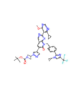 COc1ncnc(C2CC2)c1-c1ncc2cc(-c3cnn(C4CN(C(=O)OC(C)(C)C)C4)c3)c(=O)n(Cc3ccc(-c4nc(C(F)(F)F)cn4C4CC4)cc3)c2n1